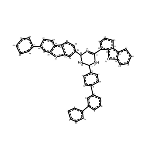 c1ccc(-c2cccc(-c3ccc(C4NC(c5cccc6c5oc5ccccc56)=NC(c5ccc6c(c5)sc5cc(-c7ccccc7)ccc56)N4)cc3)c2)cc1